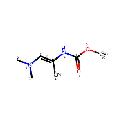 CN(C)/C=C(\C#N)NC(=O)OC(C)(C)C